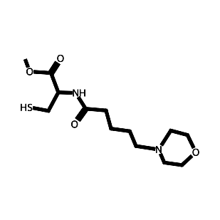 COC(=O)C(CS)NC(=O)CCCCN1CCOCC1